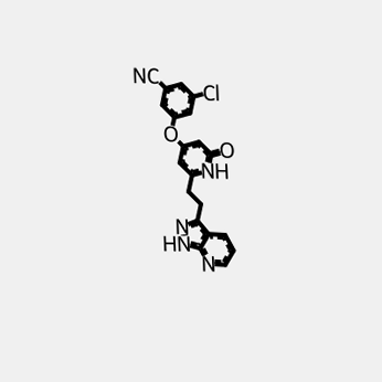 N#Cc1cc(Cl)cc(Oc2cc(CCc3n[nH]c4ncccc34)[nH]c(=O)c2)c1